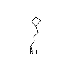 N=CCCCC1CCC1